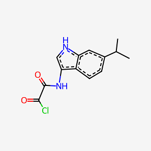 CC(C)c1ccc2c(NC(=O)C(=O)Cl)c[nH]c2c1